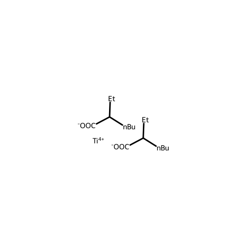 CCCCC(CC)C(=O)[O-].CCCCC(CC)C(=O)[O-].[Ti+4]